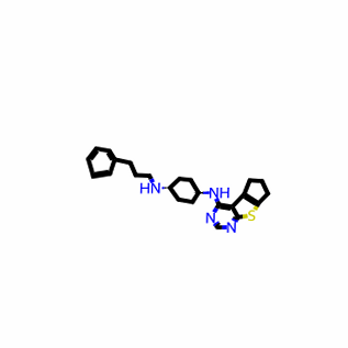 c1ccc(CCCN[C@H]2CC[C@H](Nc3ncnc4sc5c(c34)CCC5)CC2)cc1